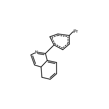 CC(C)c1ccc(C2=NC=CC3CC=CC=C23)cc1